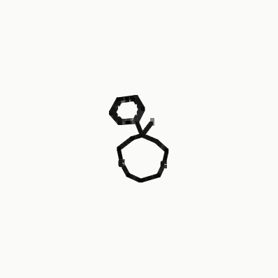 IC1(c2ccccc2)CCCCCCCCC1